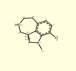 Clc1ccc2c3c1N(I)C[C@@H]3CNCC2